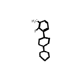 Cc1cccc(C2CCC(C3CCCCC3)CC2)c1F